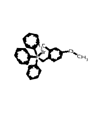 COc1ccc(CP(Br)(c2ccccc2)(c2ccccc2)c2ccccc2)c(C)c1